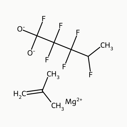 C=C(C)C.CC(F)C(F)(F)C(F)(F)C([O-])([O-])F.[Mg+2]